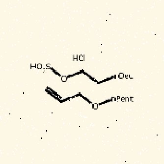 C=CCOCCCCC.CCCCCCCCCCCCOS(=O)(=O)O.Cl